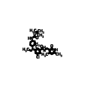 CCN(c1cc(Cl)cc(C(=O)NCc2c(C)cc(C)[nH]c2=O)c1C)[C@H]1CC[C@@H](NC(=O)OC(C)(C)C)CC1